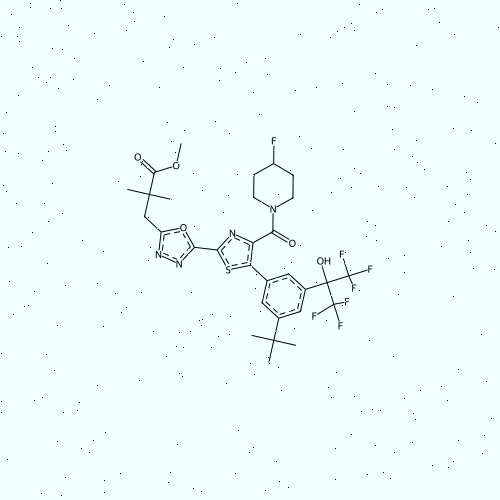 COC(=O)C(C)(C)Cc1nnc(-c2nc(C(=O)N3CCC(F)CC3)c(-c3cc(C(C)(C)C)cc(C(O)(C(F)(F)F)C(F)(F)F)c3)s2)o1